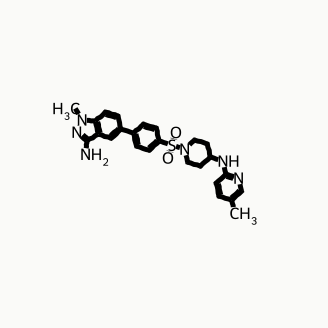 Cc1ccc(NC2CCN(S(=O)(=O)c3ccc(-c4ccc5c(c4)c(N)nn5C)cc3)CC2)nc1